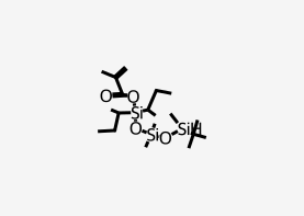 C=C(C)C(=O)O[Si](O[Si](C)(C)O[SiH](C)C(C)(C)C)(C(C)CC)C(C)CC